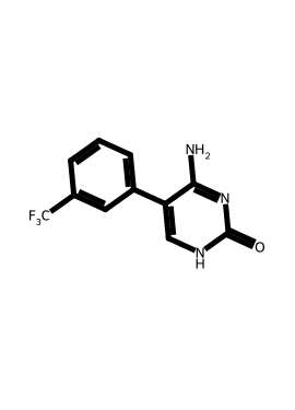 Nc1nc(=O)[nH]cc1-c1cccc(C(F)(F)F)c1